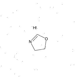 C1=NCCO1.I